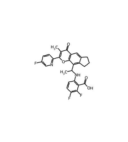 Cc1c(-c2ccc(F)cn2)oc2c(C(C)Nc3ccc(F)c(F)c3C(=O)O)c3c(cc2c1=O)CCC3